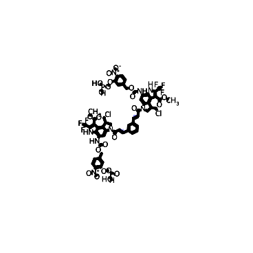 COC(=O)c1c(C(F)(F)F)[nH]c2c(NC(=O)OCc3ccc([N+](=O)[O-])c(OO[PH](=O)O)c3)cc3c(c12)C(CCl)CN3C(=O)/C=C/c1cccc(/C=C/C(=O)N2CC(CCl)c3c2cc(NC(=O)OCc2ccc([N+](=O)[O-])c(OO[PH](=O)O)c2)c2[nH]c(C(F)(F)F)c(C(=O)OC)c32)c1